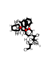 Cc1nc2ccccc2n1[C@H]1C[C@H]2CC[C@@H](C1)N2CCC1(c2cccc(F)c2)CCN(C(=O)C(C)(C)NC(=O)CCl)CC1